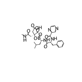 CNC(=O)C[C@@]1(CC(=O)O)OB([C@H](CC(C)C)NC(=O)[C@H](Cc2ccccc2)NC(=O)c2cnccn2)OC1=O